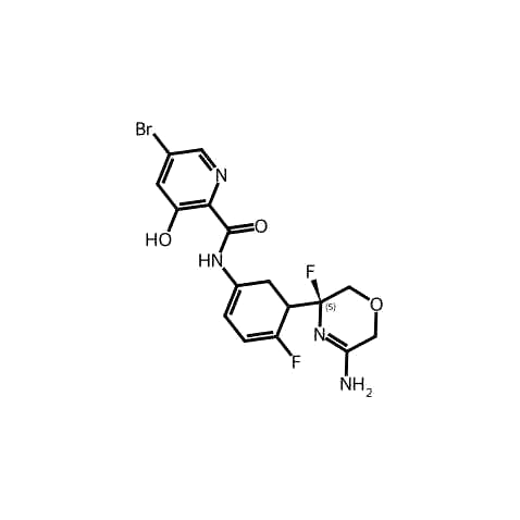 NC1=N[C@](F)(C2CC(NC(=O)c3ncc(Br)cc3O)=CC=C2F)COC1